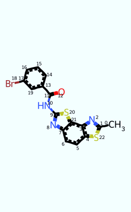 Cc1nc2c(ccc3nc(NC(=O)c4cccc(Br)c4)sc32)s1